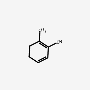 CC1=C(C#N)C=CCC1